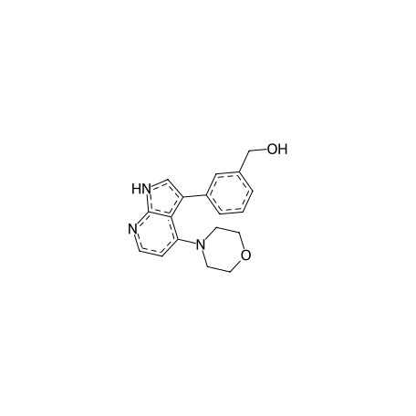 OCc1cccc(-c2c[nH]c3nccc(N4CCOCC4)c23)c1